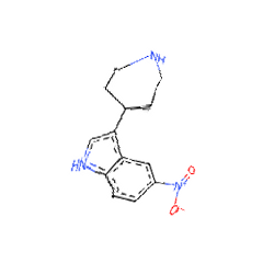 O=[N+]([O-])c1ccc2[nH]cc(C3CCNCC3)c2c1